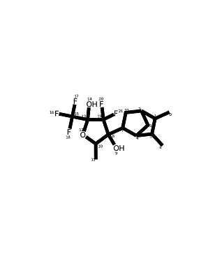 CC1C2CC(C1C)C(C1(O)C(C)OC(O)(C(F)(F)F)C1(F)F)C2